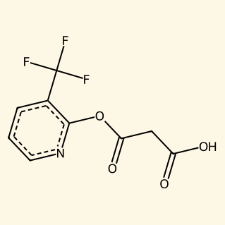 O=C(O)CC(=O)Oc1ncccc1C(F)(F)F